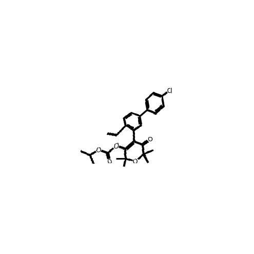 CCc1ccc(-c2ccc(Cl)cc2)cc1C1=C(OC(=O)OC(C)C)C(C)(C)OC(C)(C)C1=O